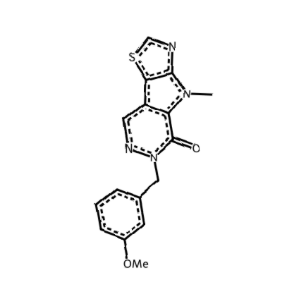 COc1cccc(Cn2ncc3c4scnc4n(C)c3c2=O)c1